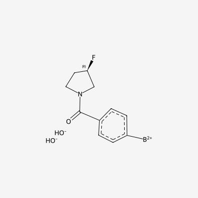 [B+2]c1ccc(C(=O)N2CC[C@@H](F)C2)cc1.[OH-].[OH-]